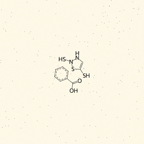 O=C(O)c1ccccc1.SC1=CNN(S)S1